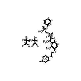 C[N+]12CC[N+](CCOc3ccc4sc(S(=O)(=O)NCP(=O)(O)Oc5ccccc5)c(C(F)(F)F)c4c3C#N)(CC1)CC2.O=C([O-])C(F)(F)F.O=C([O-])C(F)(F)F